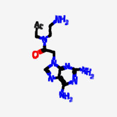 CC(=O)CN(CCN)C(=O)Cn1cnc2c(N)nc(N)nc21